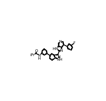 CC(C)C(=O)Nc1cccc(-c2ccc3[nH]nc(-c4nc5c(-c6cccc(F)c6)cncc5[nH]4)c3c2)c1